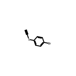 C#CSc1ccc(Br)cc1